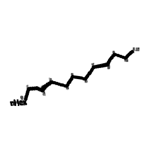 [CH2]CCCCCCCCCCCCCCCI